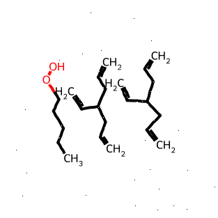 C=CCC(C=C)CC=C.C=CCC(C=C)CC=C.CCCCCOO